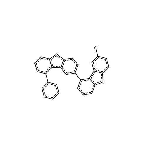 Clc1ccc2oc3cccc(-c4ccc5sc6cccc(-c7ccccc7)c6c5c4)c3c2c1